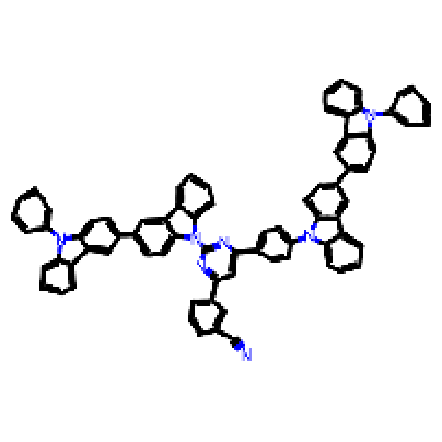 N#Cc1cccc(-c2cc(-c3ccc(-n4c5ccccc5c5cc(-c6ccc7c(c6)c6ccccc6n7-c6ccccc6)ccc54)cc3)nc(-n3c4ccccc4c4cc(-c5ccc6c(c5)c5ccccc5n6-c5ccccc5)ccc43)n2)c1